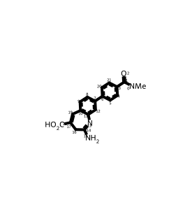 CNC(=O)c1ccc(-c2ccc3c(c2)N=C(N)CC(C(=O)O)=C3)cc1